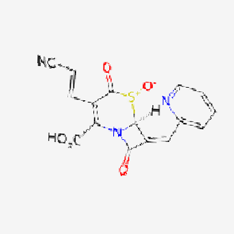 N#C/C=C/C1=C(C(=O)O)N2C(=O)/C(=C/c3ccccn3)[C@@H]2[S+]([O-])C1=O